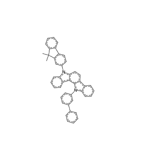 CC1(C)c2ccccc2-c2ccc(-n3c4ccccc4c4c3ccc3c5ccccc5n(-c5cccc(-c6ccccc6)c5)c34)cc21